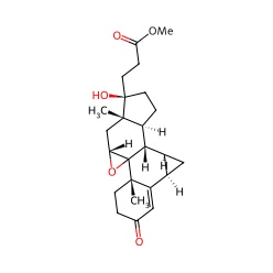 COC(=O)CC[C@]1(O)CC[C@H]2[C@@H]3[C@H]4C[C@H]4C4=CC(=O)CC[C@]4(C)C34O[C@@H]4C[C@@]21C